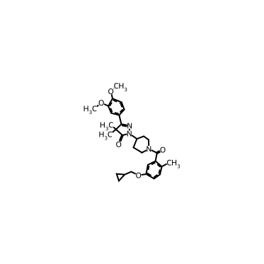 COc1ccc(C2=NN(C3CCN(C(=O)c4cc(OCC5CC5)ccc4C)CC3)C(=O)C2(C)C)cc1OC